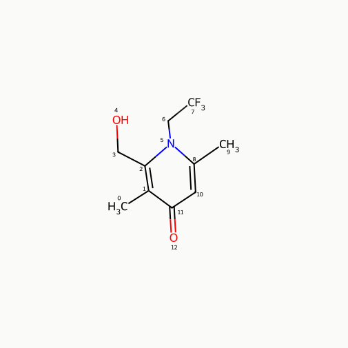 Cc1c(CO)n(CC(F)(F)F)c(C)cc1=O